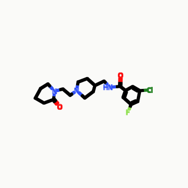 O=C(NCC1CCN(CCN2CCCCC2=O)CC1)c1cc(F)cc(Cl)c1